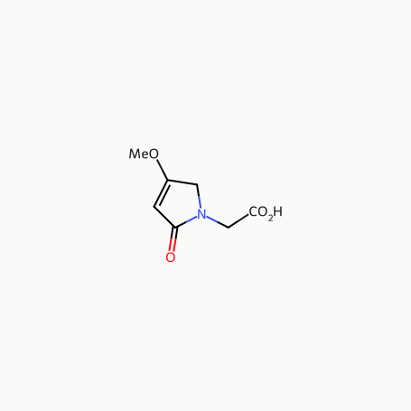 COC1=CC(=O)N(CC(=O)O)C1